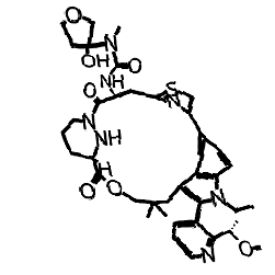 CCn1c(-c2cccnc2[C@H](C)OC)c2c3cc(ccc31)C1CSC(=N1)C[C@H](NC(=O)N(C)C1(O)CCOC1)C(=O)N1CCC[C@H](N1)C(=O)OCC(C)(C)C2